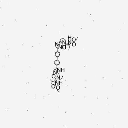 CCOC(=O)N[C@H](C(=O)N1CCCC1c1ncc(-c2ccc(-c3ccc(-c4cnc([C@@H]5CCCN5C(=O)[C@@H](NC(=O)OCC)C(C)C)[nH]4)cc3)cc2)[nH]1)C(C)C